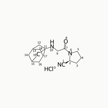 Cl.N#C[C@@H]1CCCN1C(=O)CNC12CC3CC(CC1C3)C2